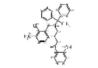 CC(c1ccccc1)(c1ccccc1)N(CCCOc1ccccc1O)Cc1cccc(C(F)(F)F)c1Cl